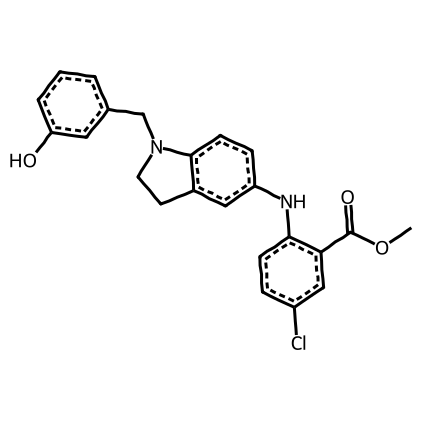 COC(=O)c1cc(Cl)ccc1Nc1ccc2c(c1)CCN2Cc1cccc(O)c1